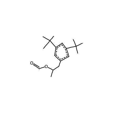 CC(Cc1cc(C(C)(C)C)cc(C(C)(C)C)c1)O[C]=O